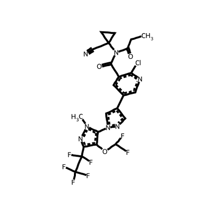 CCC(=O)N(C(=O)c1cc(-c2cnn(-c3c(OC(F)F)c(C(F)(F)C(F)(F)F)nn3C)c2)cnc1Cl)C1(C#N)CC1